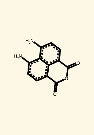 Nc1ccc2c3c(ccc(N)c13)C(=O)OC2=O